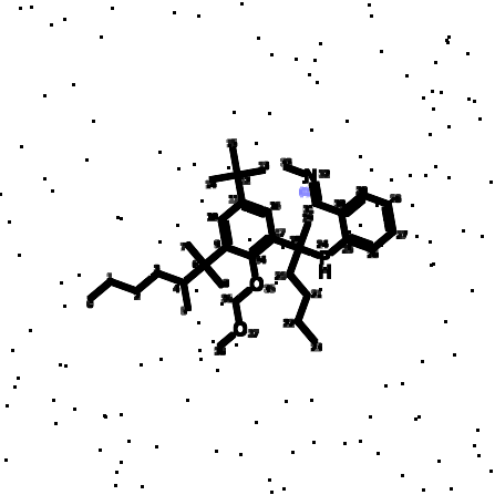 CCCCC(C)C(C)(C)c1cc(C(C)(C)C)cc(C(C)(CCCC)Pc2ccccc2/C=N/C)c1OCOC